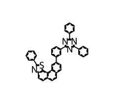 c1ccc(-c2nc(-c3ccccc3)nc(-c3cccc(-c4ccc5ccc6ccc7nc(-c8ccccc8)sc7c6c5c4)c3)n2)cc1